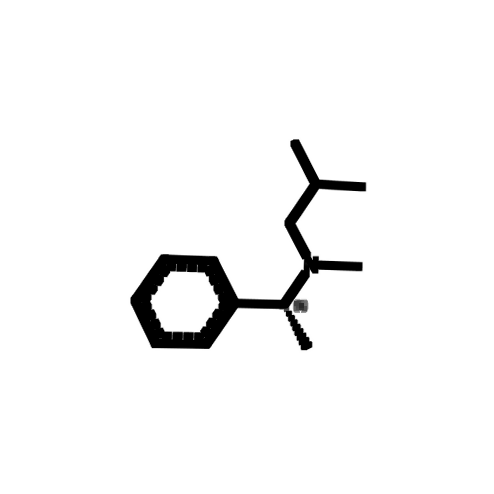 CC(C)CN(C)[C@H](C)c1ccccc1